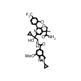 COc1cc(C(=O)NC[C@](O)(c2cc3c(c(-c4ccc(C(F)(F)F)cc4Cl)n2)OC[C@]3(C)C(N)=O)C2CC2)cc2cn(C3CC3)nc12